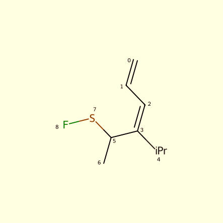 C=C/C=C(/C(C)C)C(C)SF